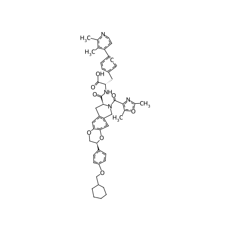 Cc1nc(C(=O)N2Cc3cc4c(cc3C[C@H]2C(=O)N[C@@H](Cc2ccc(-c3ccnc(C)c3C)cc2)C(=O)O)OC[C@H](c2ccc(OCC3CCCCC3)cc2)O4)c(C)o1